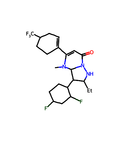 CCC1NN2C(=O)C=C(C3=CCC(C(F)(F)F)CC3)N(C)C2C1C1CCC(F)CC1F